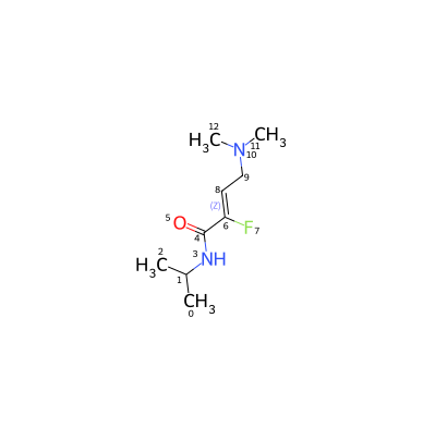 CC(C)NC(=O)/C(F)=C/CN(C)C